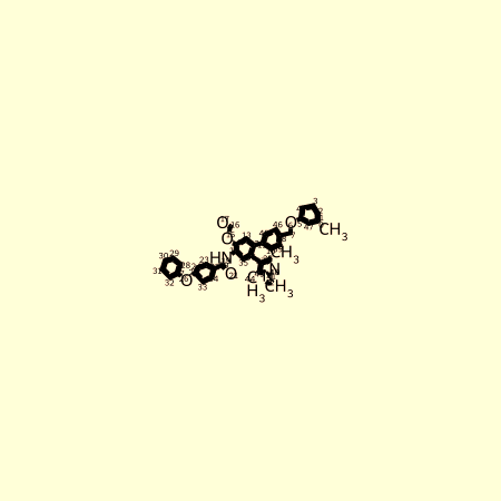 Cc1cccc(OCc2ccc(-c3cc(OC=O)c(NC(=O)c4ccc(Oc5ccccc5)cc4)cc3-c3c(C)nn(C)c3C)cc2)c1